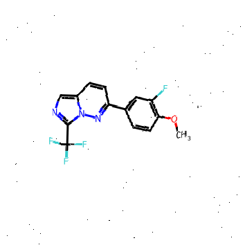 COc1ccc(-c2ccc3cnc(C(F)(F)F)n3n2)cc1F